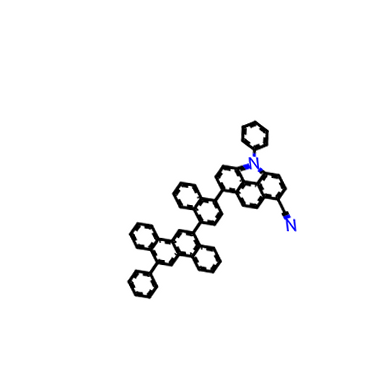 N#Cc1ccc2c3c1ccc1c(-c4ccc(-c5cc6c7ccccc7c(-c7ccccc7)cc6c6ccccc56)c5ccccc45)ccc(c13)n2-c1ccccc1